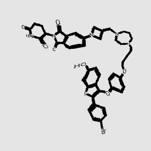 O=C1CCC(N2C(=O)c3ccc(N4CC(CN5CCCN(CCOc6ccc(Oc7c(-c8ccc(Br)cc8)sc8cc(O)ccc78)cc6)CC5)C4)cc3C2=O)C(=O)N1